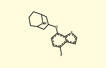 Fc1ccc(OC2CC3CCCC(C2)N3)c2sccc12